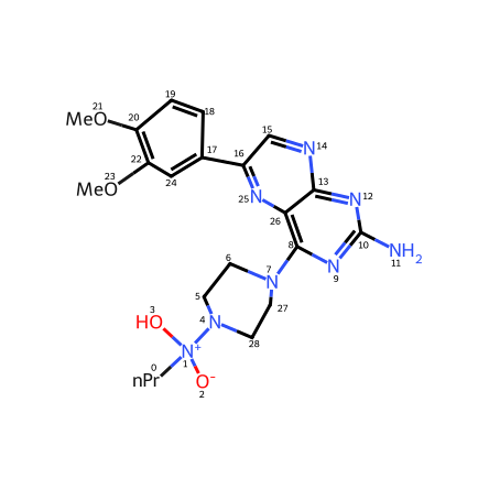 CCC[N+]([O-])(O)N1CCN(c2nc(N)nc3ncc(-c4ccc(OC)c(OC)c4)nc23)CC1